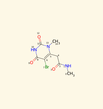 CNC(=O)Cc1c(Br)c(=O)[nH]c(=O)n1C